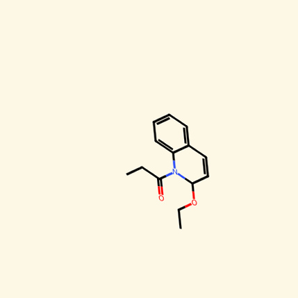 CCOC1C=Cc2ccccc2N1C(=O)CC